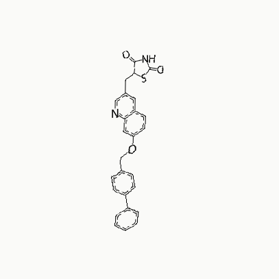 O=C1NC(=O)C(Cc2cnc3cc(OCc4ccc(-c5ccccc5)cc4)ccc3c2)S1